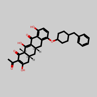 CC(=O)C1=C(O)C[C@H]2C[C@H]3Cc4c(OC5CCC(Cc6ccccc6)CC5)ccc(O)c4C(=O)C3=C(O)[C@@]2(C)C1=O